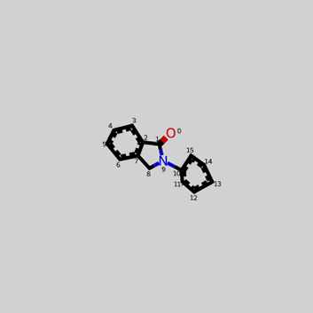 O=C1c2ccccc2CN1c1[c]cccc1